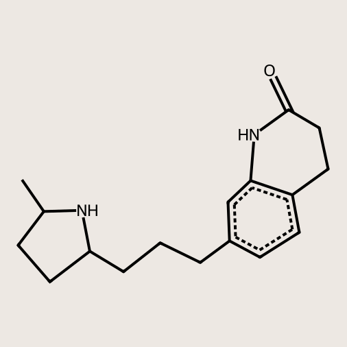 CC1CCC(CCCc2ccc3c(c2)NC(=O)CC3)N1